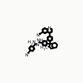 CC1CC2CCCC(C2)C1(c1ccc(C(=N)/N=C(\N)c2ccc(C#N)cc2)cc1)c1ccc(-c2ccnc3ccc(C#N)cc23)cc1